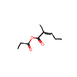 CCC=C(C)C(=O)OC(=O)CC